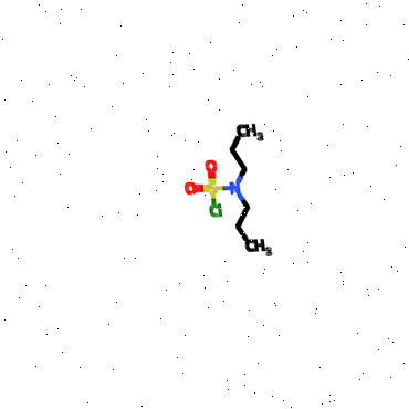 CCCN(CCC)S(=O)(=O)Cl